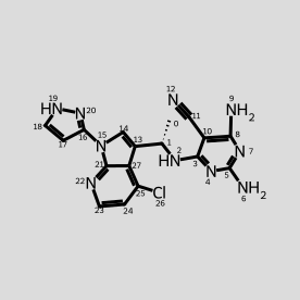 C[C@H](Nc1nc(N)nc(N)c1C#N)c1cn(-c2cc[nH]n2)c2nccc(Cl)c12